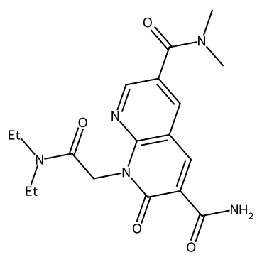 CCN(CC)C(=O)Cn1c(=O)c(C(N)=O)cc2cc(C(=O)N(C)C)cnc21